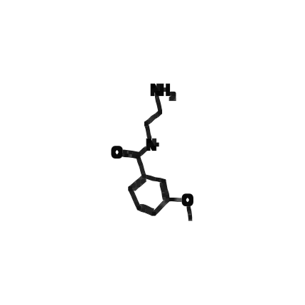 COc1cccc(C(=O)[N]CCN)c1